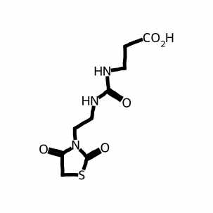 O=C(O)CCNC(=O)NCCN1C(=O)CSC1=O